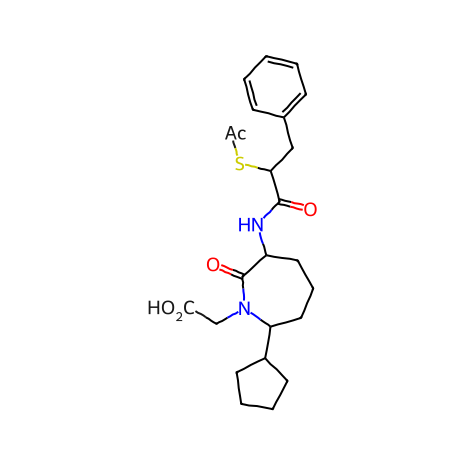 CC(=O)SC(Cc1ccccc1)C(=O)NC1CCCC(C2CCCC2)N(CC(=O)O)C1=O